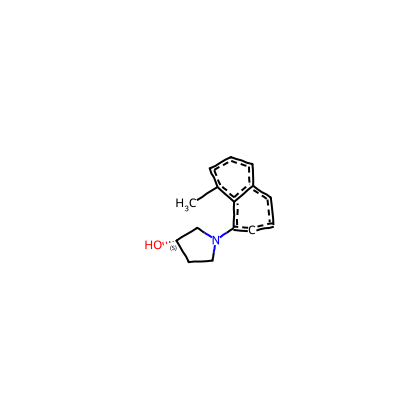 Cc1cccc2cccc(N3CC[C@H](O)C3)c12